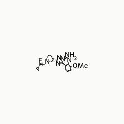 COc1cccc2c1nc(N)n1nc([C@@H]3CCCN(C[C@H](F)C4CC4)C3)nc21